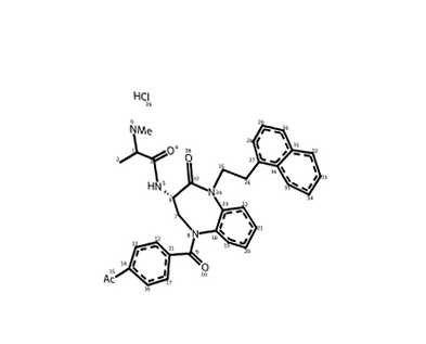 CNC(C)C(=O)N[C@H]1CN(C(=O)c2ccc(C(C)=O)cc2)c2ccccc2N(CCc2cccc3ccccc23)C1=O.Cl